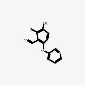 Cc1ccc(Nc2cccnc2)c(C=N)c1Cl